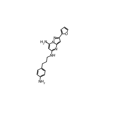 Nc1ccc(CCCNc2cc(N)n3nc(-c4ccco4)cc3n2)cc1